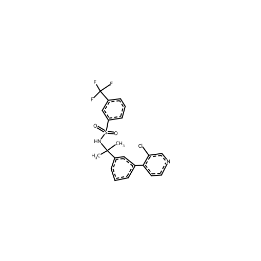 CC(C)(NS(=O)(=O)c1cccc(C(F)(F)F)c1)c1cccc(-c2ccncc2Cl)c1